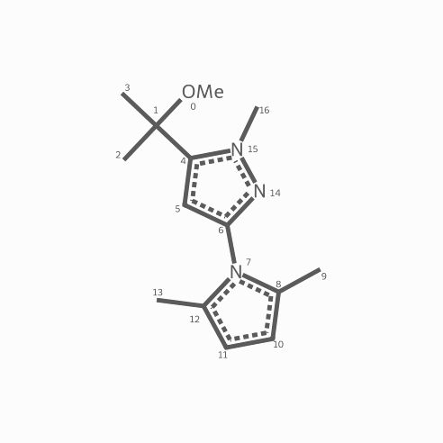 COC(C)(C)c1cc(-n2c(C)ccc2C)nn1C